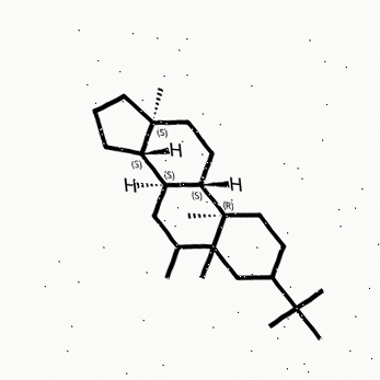 CC1C[C@H]2[C@@H]3CCC[C@@]3(C)CC[C@@H]2[C@@]2(C)CCC(C(C)(C)C)CC12C